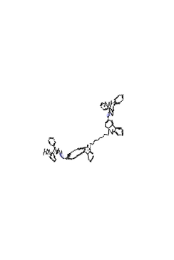 C(=N\N(c1ccccc1)c1ccc[nH]1)/c1ccc2c(c1)c1ccccc1n2CCCCCCCCn1c2ccccc2c2cc(/C=N/N(c3ccccc3)c3ccc[nH]3)ccc21